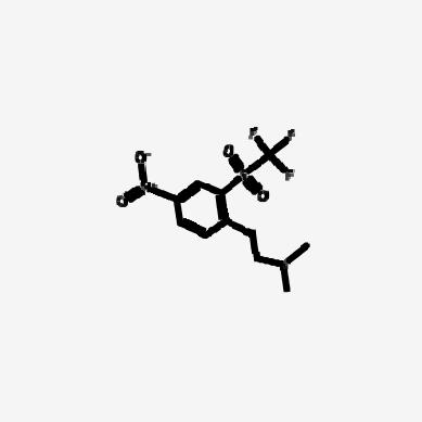 CN(C)CCc1ccc([N+](=O)[O-])cc1S(=O)(=O)C(F)(F)F